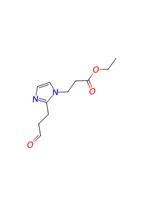 CCOC(=O)CCn1ccnc1CCC=O